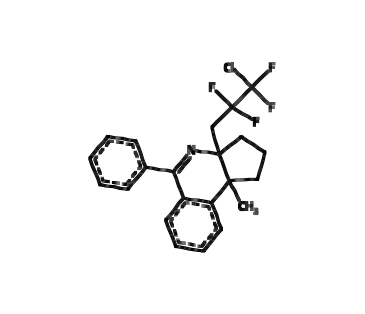 CC12CCCC1(CC(F)(F)C(F)(F)Cl)N=C(c1ccccc1)c1ccccc12